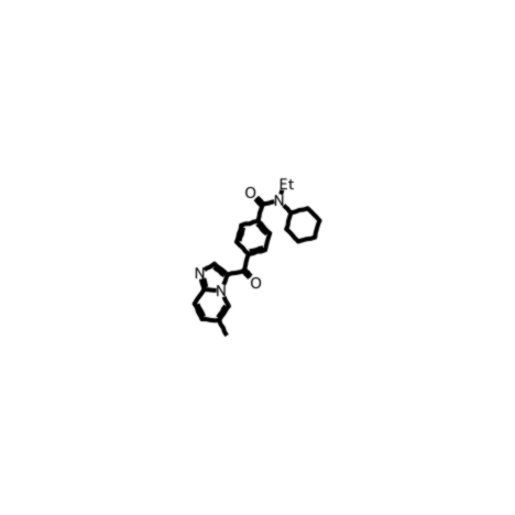 CCN(C(=O)c1ccc(C(=O)c2cnc3ccc(C)cn23)cc1)C1CCCCC1